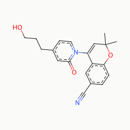 CC1(C)C=C(n2ccc(CCCO)cc2=O)c2cc(C#N)ccc2O1